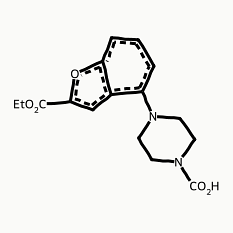 CCOC(=O)c1cc2c(N3CCN(C(=O)O)CC3)cccc2o1